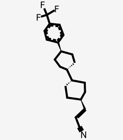 N#CC=C[C@H]1CC[C@H]([C@H]2CC[C@H](c3ccc(C(F)(F)F)cc3)CC2)CC1